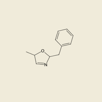 CC1C=NC(Cc2ccccc2)O1